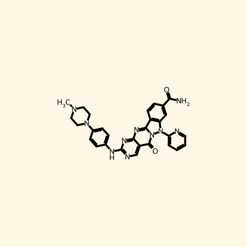 CN1CCN(c2ccc(Nc3ncc4c(=O)n5c(nc4n3)c3ccc(C(N)=O)cc3n5-c3ccccn3)cc2)CC1